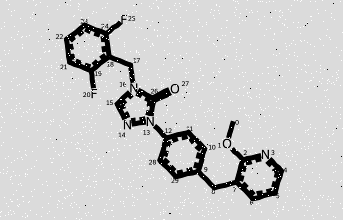 COc1ncccc1Cc1ccc(-n2ncn(Cc3c(F)cccc3F)c2=O)cc1